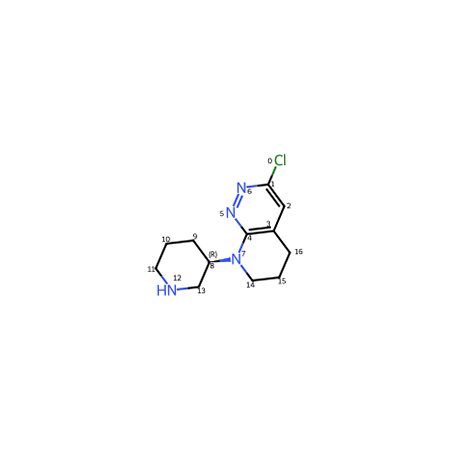 Clc1cc2c(nn1)N([C@@H]1CCCNC1)CCC2